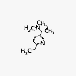 CCc1ccc([C@@H](C)N(C)C)cn1